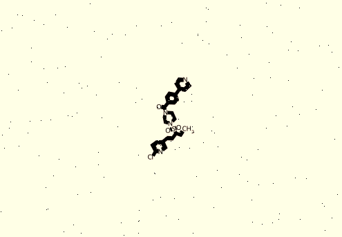 C=CC(/C=C/c1ccc(Cl)nc1)S(=O)(=O)N1CCN(C(=O)c2ccc(-c3ccncc3)cc2)CC1